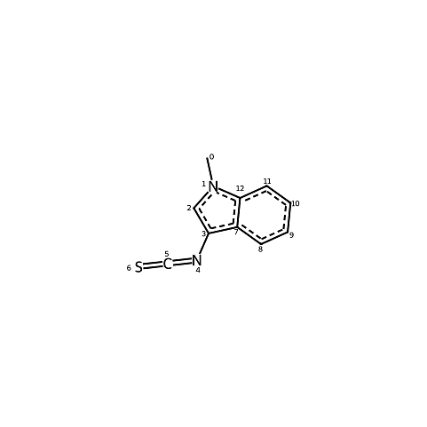 Cn1cc(N=C=S)c2ccccc21